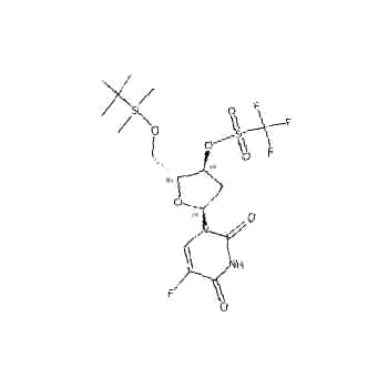 CC(C)(C)[Si](C)(C)OC[C@H]1O[C@H](n2cc(F)c(=O)[nH]c2=O)C[C@@H]1OS(=O)(=O)C(F)(F)F